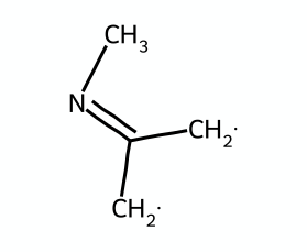 [CH2]C([CH2])=NC